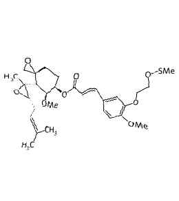 COc1ccc(/C=C/C(=O)O[C@@H]2CC[C@]3(CO3)[C@@H](C3(C)O[C@H]3CC=C(C)C)[C@@H]2OC)cc1OCCOSC